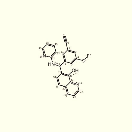 C#Cc1cc(SF)cc(C(Nc2ccccn2)c2ccc3cccnc3c2O)c1